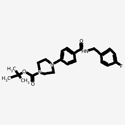 CC(C)(C)OC(=O)N1CCN(c2ccc(C(=O)NCc3ccc(F)cc3)cc2)CC1